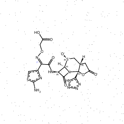 Nc1nc(/C(=N/OCC(=O)O)C(=O)N[C@@H]2C(=O)N3[C@@H]2[S@@+]([O-])C[C@@H]2CC(=O)O[C@@]23c2nnn[nH]2)cs1